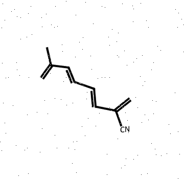 C=C(C)/C=C/C=C/C(=C)C#N